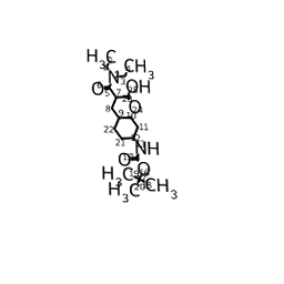 CCN(CC)C(=O)C(CC1CCC(NC(=O)OC(C)(C)C)CC1)C(=O)O